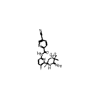 CC1(C)C(=N)N[C@](C)(c2nc(NC(=O)c3ccc(C#N)cn3)ccc2F)CS1(=O)=O